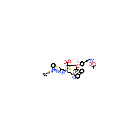 COC(=O)c1nc(N(CCCC(C[N+](C)(C)C)O[Si](c2ccccc2)(c2ccccc2)C(C)(C)C)c2cc(C)c(/N=c3\sc4ccccc4n3COCC[Si](C)(C)C)nn2)sc1CCCOc1ccc(C#CCN(C)C(=O)OC(C)(C)C)cc1F